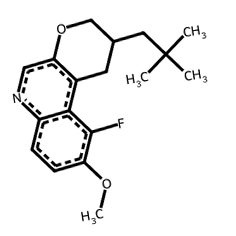 COc1ccc2ncc3c(c2c1F)CC(CC(C)(C)C)CO3